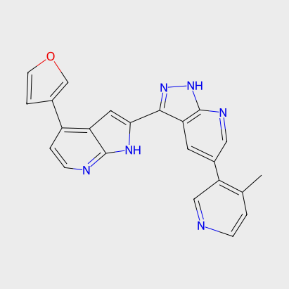 Cc1ccncc1-c1cnc2[nH]nc(-c3cc4c(-c5ccoc5)ccnc4[nH]3)c2c1